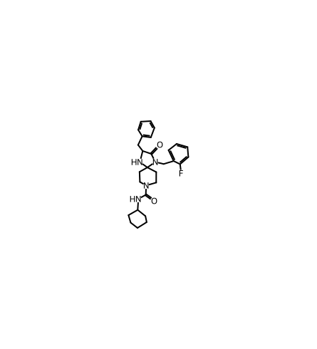 O=C(NC1CCCCC1)N1CCC2(CC1)NC(Cc1ccccc1)C(=O)N2Cc1ccccc1F